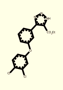 CCOC(=O)c1[nH]nnc1-c1cccc(Oc2ccc(Cl)c(Cl)c2)c1